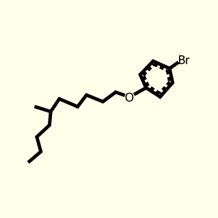 CCCCC(C)CCCCCOc1ccc(Br)cc1